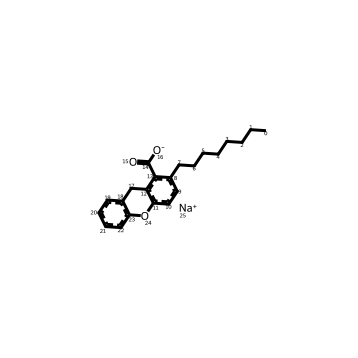 CCCCCCCCc1ccc2c(c1C(=O)[O-])Cc1ccccc1O2.[Na+]